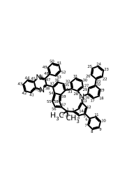 CC1(C)c2cc(-c3ccccc3)cc(c2)N(c2cccc(-c3ccccc3)c2)c2ccccc2-c2ccc(-c3nc4ccccc4nc3-c3ccccc3)c3ccc1cc23